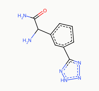 NC(=O)C(N)c1cccc(-c2nn[nH]n2)c1